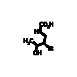 CC[C@H](CNC(=O)O)C(C)O